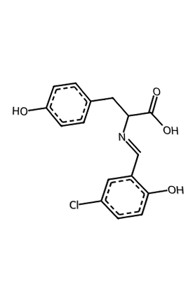 O=C(O)C(Cc1ccc(O)cc1)N=Cc1cc(Cl)ccc1O